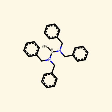 CCC[SiH](N(Cc1ccccc1)Cc1ccccc1)N(Cc1ccccc1)Cc1ccccc1